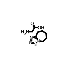 C1CCc2nnnn2CC1.NCC(=O)O